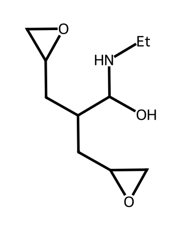 CCNC(O)C(CC1CO1)CC1CO1